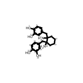 NC1(Cc2ccc(O)c(O)c2)CCCCC1(N)Cc1ccc(O)c(O)c1